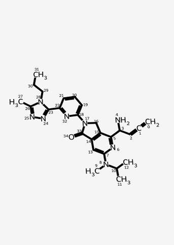 C=C=CC(N)c1nc(N(C)C(C)C)cc2c1CN(c1cccc(-c3nnc(C)n3CCC)n1)C2=O